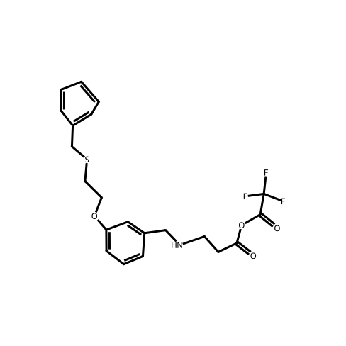 O=C(CCNCc1cccc(OCCSCc2ccccc2)c1)OC(=O)C(F)(F)F